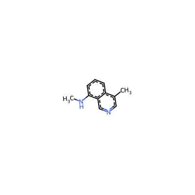 CNc1cccc2c(C)cncc12